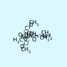 CNC(=O)[C@@H](Cc1ccc(OC)cc1)N(C)C(=O)[C@@H](Cc1ccc(OC)cc1)N(C)C(=O)C=CCC(C)(C)N